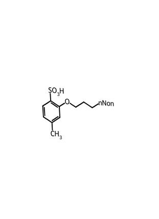 CCCCCCCCCCCCOc1cc(C)ccc1S(=O)(=O)O